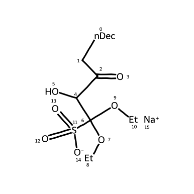 CCCCCCCCCCCC(=O)C(O)C(OCC)(OCC)S(=O)(=O)[O-].[Na+]